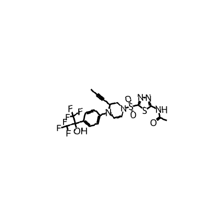 CC#CC1CN(S(=O)(=O)c2nnc(NC(C)=O)s2)CCN1c1ccc(C(O)(C(F)(F)F)C(F)(F)F)cc1